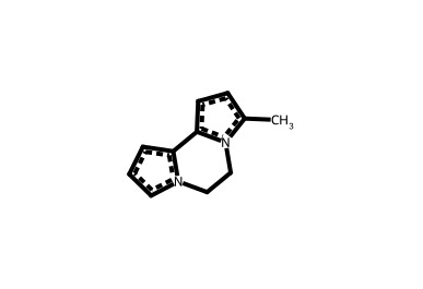 Cc1ccc2n1CCn1cccc1-2